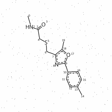 CNC(=O)CSCc1nc(-c2ccc(C)cc2)oc1C